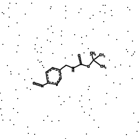 CC(C)(C)OC(=O)NCc1ccc(N=O)cc1